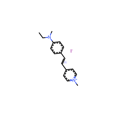 CCN(C)c1ccc(/C=C/c2cc[n+](C)cc2)cc1.[I-]